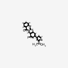 CN(C)c1cc(-c2cc(F)c(Cn3cnc4ccccc4c3=O)c(F)c2)ccn1